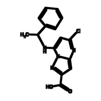 CC(Nc1cc(Cl)nc2cc(C(=O)O)nn12)c1ccccc1